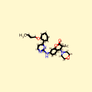 CC=CCOc1ccccc1-c1ccnc(Nc2ccc3c(N4CCOCC4)c(C(C)=O)c(=O)oc3c2)n1